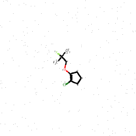 FC(F)(F)C(F)(COC1=C(Cl)CCC1)C(F)(F)F